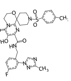 Cc1ccc(S(=O)(=O)N2CCC3(CC2)OCCn2c3nc(C(=O)NCc3ccc(F)cc3-n3cnc(C)n3)c(O)c2=O)cc1